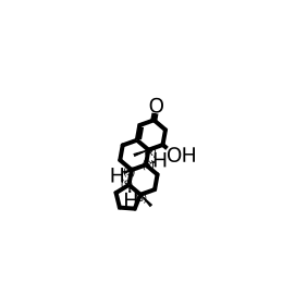 C[C@@]12CCC[C@H]1[C@@H]1CCC3=CC(=O)CC(O)[C@]3(C)[C@H]1CC2